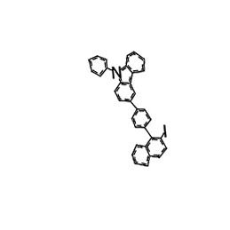 Ic1ccc2ccccc2c1-c1ccc(-c2ccc3c(c2)c2ccccc2n3-c2ccccc2)cc1